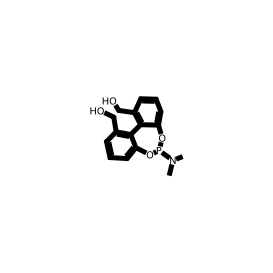 CN(C)p1oc2cccc(CO)c2c2c(CO)cccc2o1